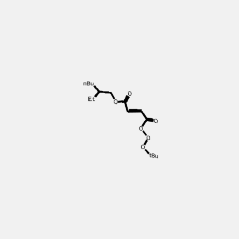 CCCCC(CC)COC(=O)C=CC(=O)OOOC(C)(C)C